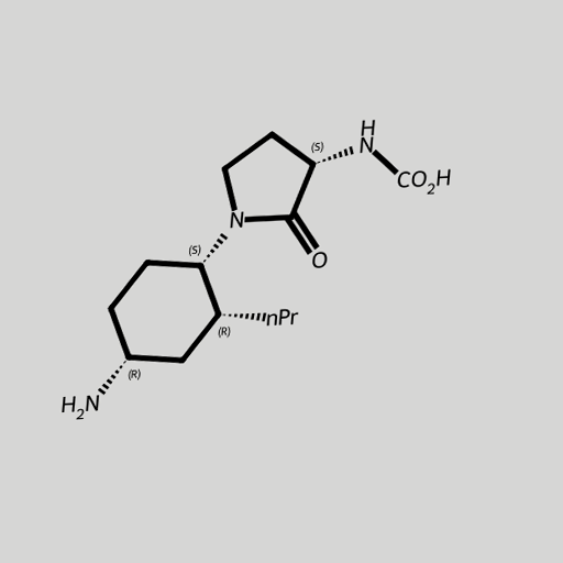 CCC[C@@H]1C[C@H](N)CC[C@@H]1N1CC[C@H](NC(=O)O)C1=O